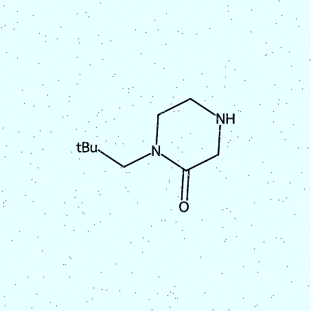 CC(C)(C)CN1CCNCC1=O